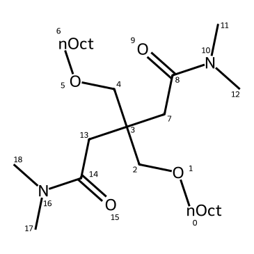 CCCCCCCCOCC(COCCCCCCCC)(CC(=O)N(C)C)CC(=O)N(C)C